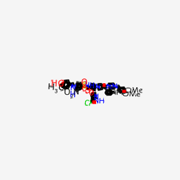 COc1ccc(CN2CCN(C3CC4(CCN(c5ccc(C(=O)NS(=O)(=O)c6ccc(NCC7CCC(C)(O)CC7)c([N+](=O)[O-])c6)c(Oc6cnc7[nH]cc(Cl)c7c6)c5)CC4)C3)[C@H](c3ccccc3C(C)C)C2)cc1OC